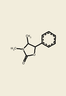 [CH2]N1C(=O)OC(c2ccccc2)C1C